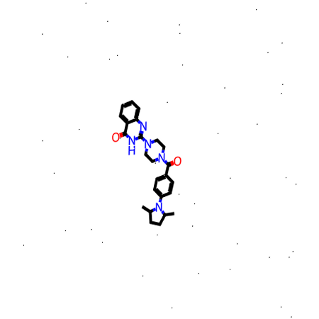 CC1CCC(C)N1c1ccc(C(=O)N2CCN(c3nc4ccccc4c(=O)[nH]3)CC2)cc1